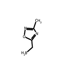 BCc1nc(C)no1